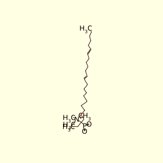 CCCCCC=CCCCCC=CCCCCCCCCCC(CC)(P(=O)=O)[N+](C)(C)C